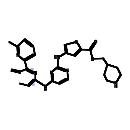 C=N/C(=N\C(=C/C)Nc1ccnc(Nc2csc(C(=O)OCC3CCNCC3)c2)n1)c1cccc(C)n1